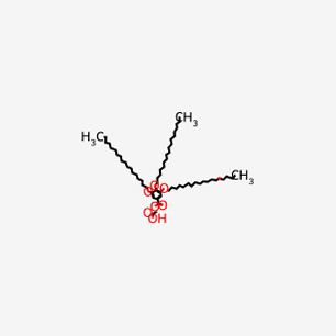 CCCCCCCCCCCCCCCCCCOc1cc(C(=O)OCC(=O)O)cc(OCCCCCCCCCCCCCCCCCC)c1OCCCCCCCCCCCCCCCCCC